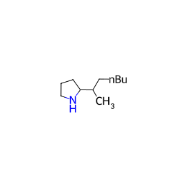 CCCCCC(C)C1CCCN1